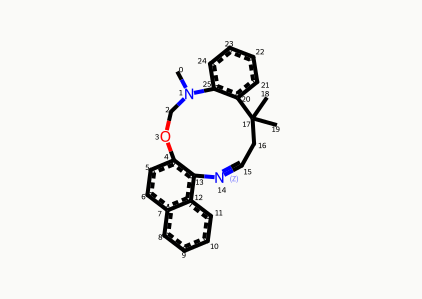 CN1COc2ccc3ccccc3c2/N=C\CC(C)(C)c2ccccc21